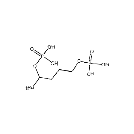 CC(C)(C)C(CCCOP(=O)(O)O)OP(=O)(O)O